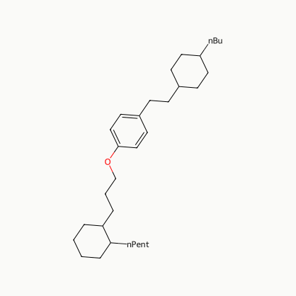 CCCCCC1CCCCC1CCCOc1ccc(CCC2CCC(CCCC)CC2)cc1